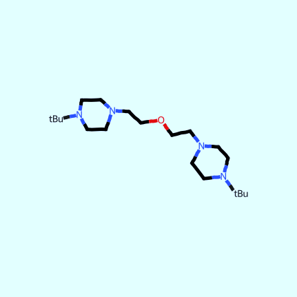 CC(C)(C)N1CCN(CCOCCN2CCN(C(C)(C)C)CC2)CC1